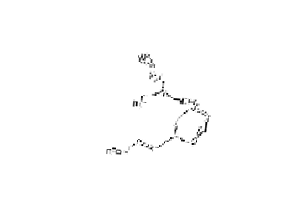 CCCCCC=Cc1ccccc1.CN(C)C.Cl